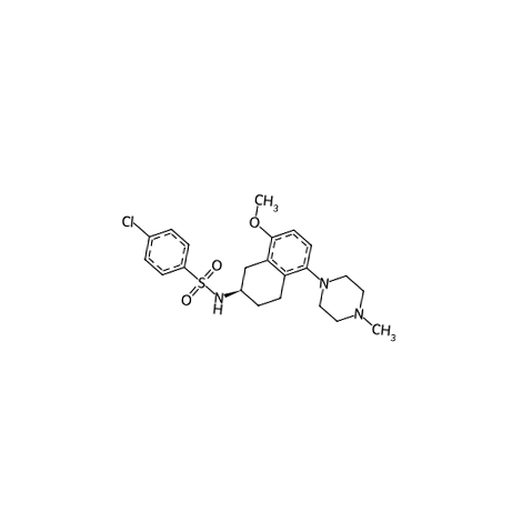 COc1ccc(N2CCN(C)CC2)c2c1C[C@H](NS(=O)(=O)c1ccc(Cl)cc1)CC2